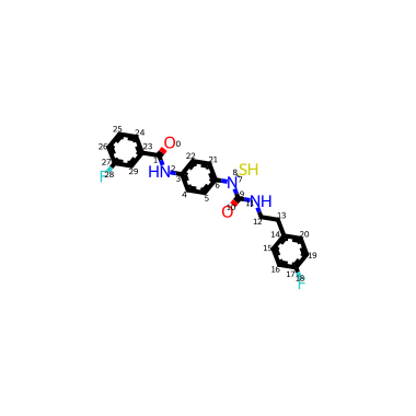 O=C(Nc1ccc(N(S)C(=O)NCCc2ccc(F)cc2)cc1)c1cccc(F)c1